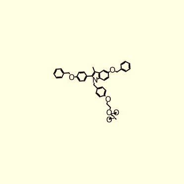 Cc1c(-c2ccc(OCc3ccccc3)cc2)n(Cc2ccc(OCCOS(C)(=O)=O)cc2)c2ccc(OCc3ccccc3)cc12